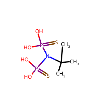 CC(C)(C)N(P(O)(O)=S)P(O)(O)=S